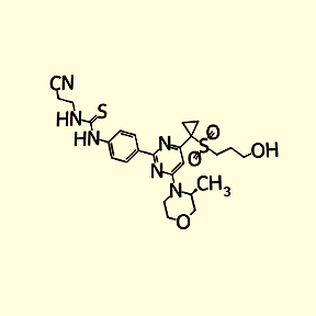 C[C@H]1COCCN1c1cc(C2(S(=O)(=O)CCCO)CC2)nc(-c2ccc(NC(=S)NCCC#N)cc2)n1